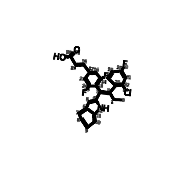 CC/C(=C(\c1cc2ccccc2[nH]1)c1c(F)cc(/C=C/C(=O)O)cc1F)c1ccc(F)cc1Cl